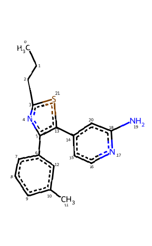 CCCc1nc(-c2cccc(C)c2)c(-c2ccnc(N)c2)s1